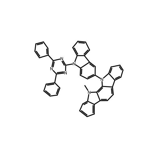 Cn1c2ccccc2c2ccc3c4ccccc4n(-c4ccc5c(c4)c4ccccc4n5-c4nc(-c5ccccc5)nc(-c5ccccc5)n4)c3c21